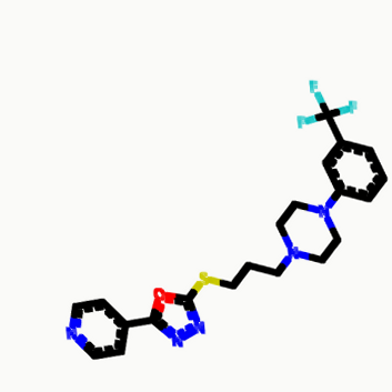 FC(F)(F)c1cccc(N2CCN(CCCSc3nnc(-c4ccncc4)o3)CC2)c1